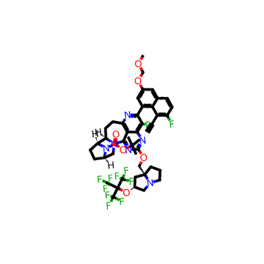 C#Cc1c(F)ccc2cc(OCOC)cc(-c3nc4c5c(nc(OC[C@@]67CCCN6C[C@H](OC(C(F)(F)F)(C(F)(F)F)C(F)(F)F)C7)nc5c3F)N3C[C@H]5CC[C@@H]([C@H]3CC4)N5C(=O)OC(C)(C)C)c12